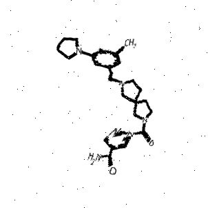 Cc1cc(CN2CCC3(CCN(C(=O)n4cc(C(N)=O)cn4)C3)C2)cc(N2CCCC2)c1